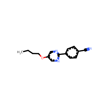 CCCCOc1cnc(-c2ccc(C#N)cc2)nc1